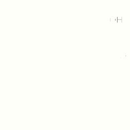 CCCC(C(CC)C(=O)O)C(C)(C)C(C)(C)CC